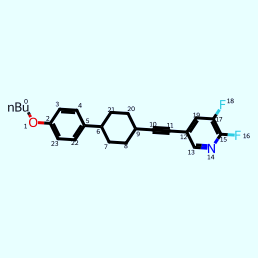 CCCCOc1ccc(C2CCC(C#Cc3cnc(F)c(F)c3)CC2)cc1